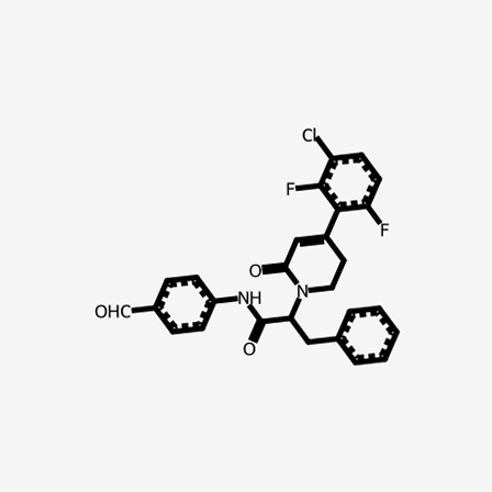 O=Cc1ccc(NC(=O)C(Cc2ccccc2)N2CCC(c3c(F)ccc(Cl)c3F)=CC2=O)cc1